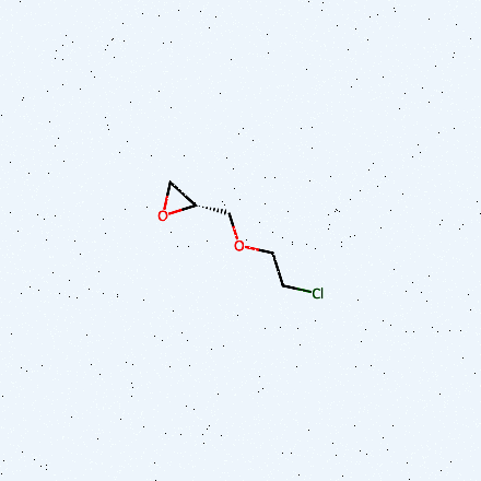 ClCCOC[C@H]1CO1